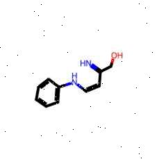 N=C(/C=C\Nc1ccccc1)CO